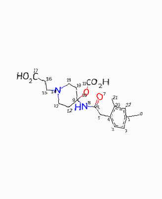 Cc1ccc(CC(=O)NC2(OC(=O)O)CCN(CCC(=O)O)CC2)c(C)c1